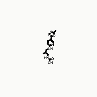 Cc1nnc(-c2ccc(NCC(C)CNC(=O)O)nc2)o1